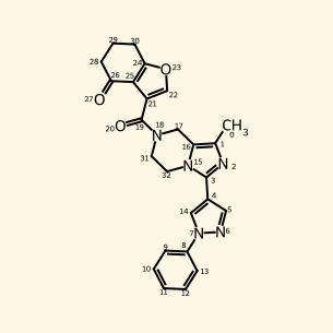 Cc1nc(-c2cnn(-c3ccccc3)c2)n2c1CN(C(=O)c1coc3c1C(=O)CCC3)CC2